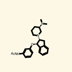 CC(=O)Nc1cccc(O[C@@H]2c3ccccc3C[C@H]2N2CCC[C@@H](N(C)C)C2)c1